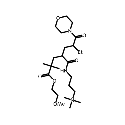 CCC(CC(CC(C)(C)C(=O)OCCOC)C(=O)NCCC[N+](C)(C)C)C(=O)N1CCOCC1